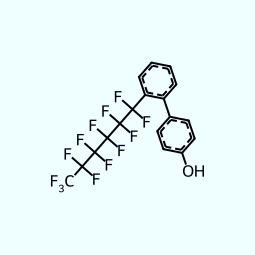 Oc1ccc(-c2ccccc2C(F)(F)C(F)(F)C(F)(F)C(F)(F)C(F)(F)C(F)(F)F)cc1